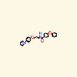 O=C(NCCCOc1ccc(N2CCCCC2)cc1)c1ccc(Oc2ccccc2)cc1